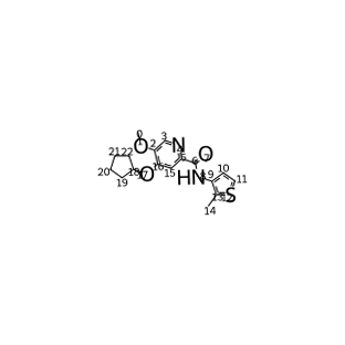 COc1cnc(C(=O)Nc2ccsc2C)cc1OC1CCCC1